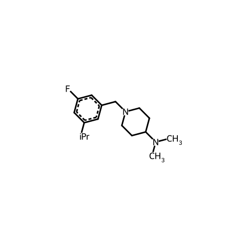 CC(C)c1cc(F)cc(CN2CCC(N(C)C)CC2)c1